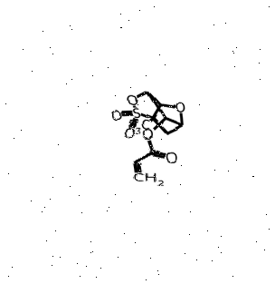 C=CC(=O)OC1C2CC3(C(F)(F)F)C(O2)C1OS3(=O)=O